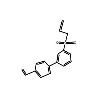 C=CCS(=O)(=O)c1cccc(-c2ccc(C=C)cc2)c1